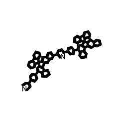 c1ccc2c(c1)-c1ccccc1C21c2cc3ccccc3cc2-c2c1cc(-c1ccc(-c3ccc(-c4ccc5cc6c(cc5c4)-c4c(cc(-c5ccc(-c7ccncc7)cc5)c5ccccc45)C64c5ccccc5-c5ccccc54)cn3)cc1)c1ccccc21